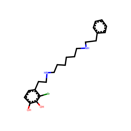 Oc1ccc(CCNCCCCCCNCCc2ccccc2)c(Br)c1O